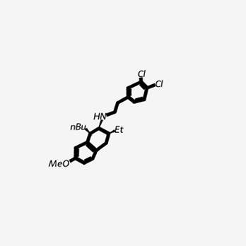 CCCC[C@@H]1c2cc(OC)ccc2C[C@H](CC)[C@@H]1NCCc1ccc(Cl)c(Cl)c1